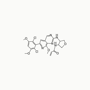 C=CC(=O)NC1COCC1Nc1ncc2cc(-c3c(Cl)c(OC)cc(OC)c3Cl)nc(OC)c2n1